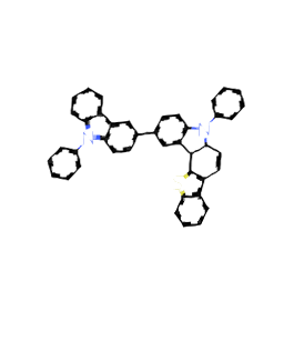 C1=CC2C(c3cc(-c4ccc5c(c4)c4ccccc4n5-c4ccccc4)ccc3N2c2ccccc2)c2sc3ccccc3c21